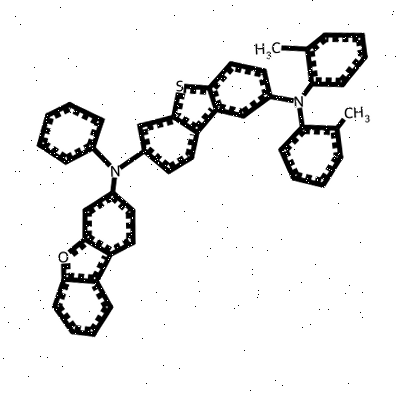 Cc1ccccc1N(c1ccc2sc3cc(N(c4ccccc4)c4ccc5c(c4)oc4ccccc45)ccc3c2c1)c1ccccc1C